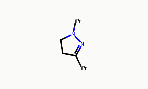 CC(C)C1=NN(C(C)C)CC1